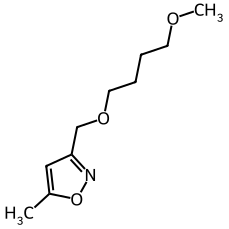 COCCCCOCc1cc(C)on1